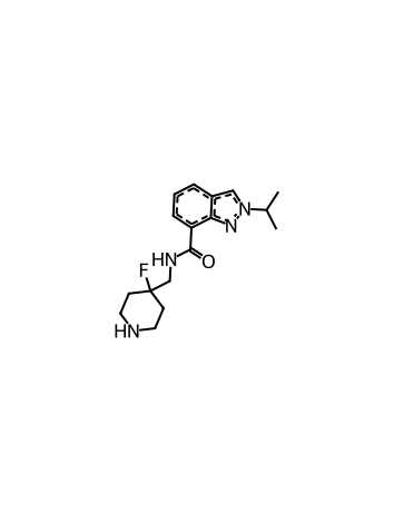 CC(C)n1cc2cccc(C(=O)NCC3(F)CCNCC3)c2n1